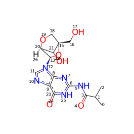 CC(C)C(=O)Nc1nc2c(ncn2[C@@H]2O[C@@]3(CO)CO[C@H]2C3O)c(=O)[nH]1